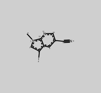 Cn1cc(I)c2cc(C#N)cnc21